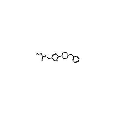 CNC(=O)OCc1cnc(N2CCN(Cc3ccccc3)CC2)nc1